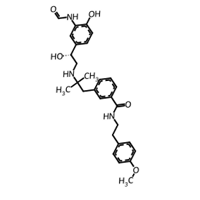 COc1ccc(CCNC(=O)c2cccc(CC(C)(C)NC[C@H](O)c3ccc(O)c(NC=O)c3)c2)cc1